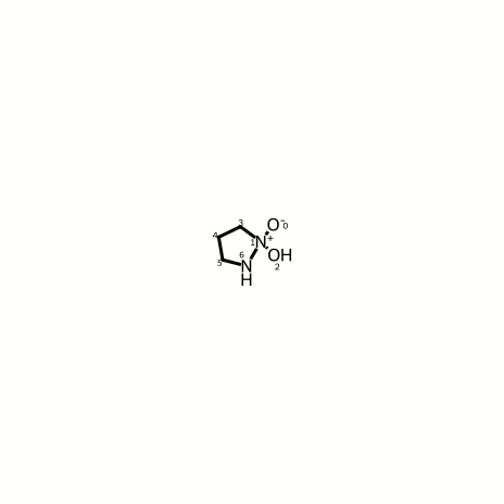 [O-][N+]1(O)CCCN1